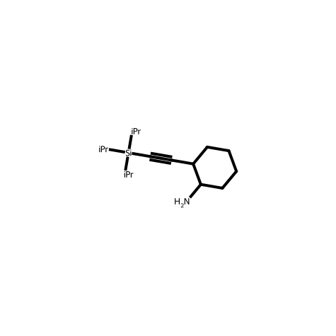 CC(C)[Si](C#CC1CCCCC1N)(C(C)C)C(C)C